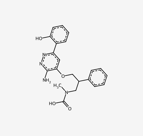 CN(CC(COc1cc(-c2ccccc2O)nnc1N)c1ccccc1)C(=O)O